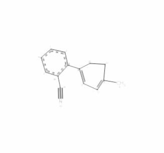 CC1=CC=C(c2ccccc2C#N)CC1